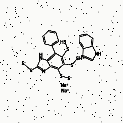 [Na+].[Na+].[S-]Sc1nc2c(S[S-])c(SS)c(SS)c(-c3ccccc3)c2[nH]1.c1ccc2[nH]cnc2c1